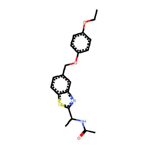 CCOc1ccc(OCc2ccc3sc(C(C)NC(C)=O)nc3c2)cc1